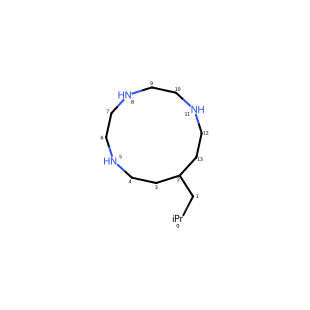 CC(C)CC1CCNCCNCCNCC1